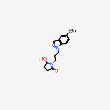 CC(C)(C)c1ccc2c(cnn2CCCN2C(=O)CCC2O)c1